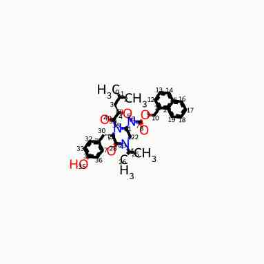 CC(C)C[C@H]1ON(C(=O)OCc2cccc3ccccc23)C2CN(C(C)C)C(=O)[C@H](Cc3ccc(O)cc3)N2C1=O